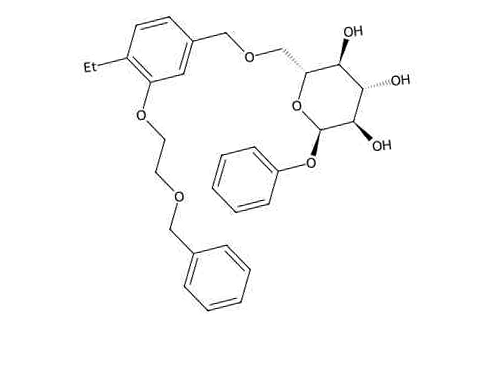 CCc1ccc(COC[C@H]2O[C@H](Oc3ccccc3)[C@H](O)[C@@H](O)[C@@H]2O)cc1OCCOCc1ccccc1